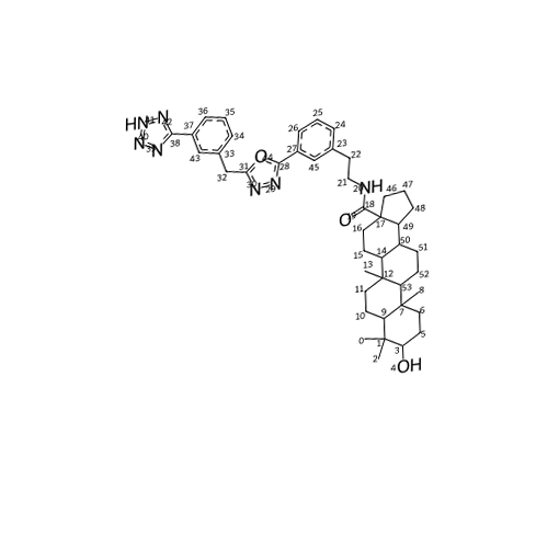 CC1(C)C(O)CCC2(C)C1CCC1(C)C3CCC4(C(=O)NCCc5cccc(-c6nnc(Cc7cccc(-c8nn[nH]n8)c7)o6)c5)CCCC4C3CCC12